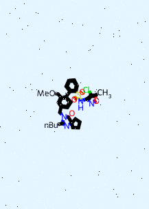 CCCCC1=NC2(CCCC2)C(=O)N1Cc1ccc(-c2ccccc2S(=O)(=O)Nc2noc(C)c2Cl)c(COC)c1